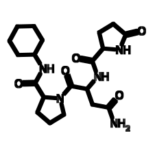 NC(=O)CC(NC(=O)C1CCC(=O)N1)C(=O)N1CCCC1C(=O)NC1CCCCC1